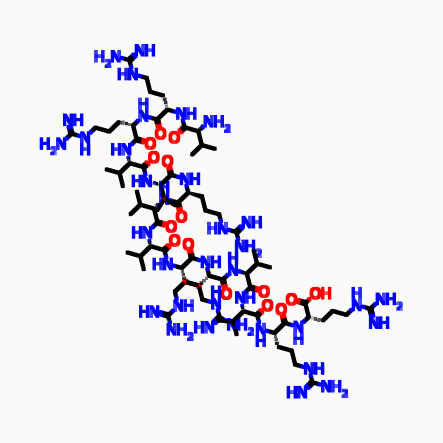 CC(C)[C@H](N)C(=O)N[C@@H](CCCNC(=N)N)C(=O)N[C@@H](CCCNC(=N)N)C(=O)N[C@H](C(=O)N[C@H](C(=O)N[C@@H](CCCNC(=N)N)C(=O)N[C@H](C(=O)N[C@H](C(=O)N[C@@H](CCCNC(=N)N)C(=O)N[C@@H](CCCNC(=N)N)C(=O)N[C@H](C(=O)N[C@H](C(=O)N[C@@H](CCCNC(=N)N)C(=O)N[C@@H](CCCNC(=N)N)C(=O)O)C(C)C)C(C)C)C(C)C)C(C)C)C(C)C)C(C)C